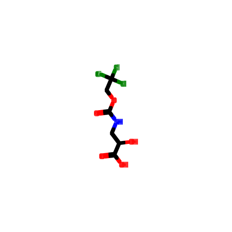 O=C(NCC(O)C(=O)O)OCC(Cl)(Cl)Cl